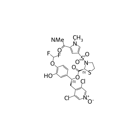 CNC(=O)c1cc(S(=O)(=O)N2CCS[C@H]2C(=O)O[C@@H](Cc2c(Cl)c[n+]([O-])cc2Cl)c2ccc(OC(F)F)c(O)c2)cn1C